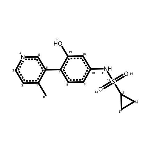 Cc1ccncc1-c1ccc(NS(=O)(=O)C2CC2)cc1O